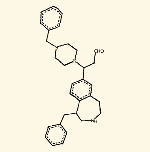 O=CCC(c1ccc2c(c1)CCNCC2Cc1ccccc1)N1CCN(Cc2ccccc2)CC1